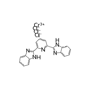 [Cl-].[Cl-].[Cl-].[Cr+3].c1cc(-c2nc3ccccc3[nH]2)nc(-c2nc3ccccc3[nH]2)c1